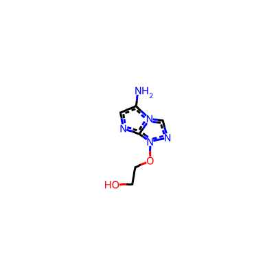 Nc1cnc2n(OCCO)ncn12